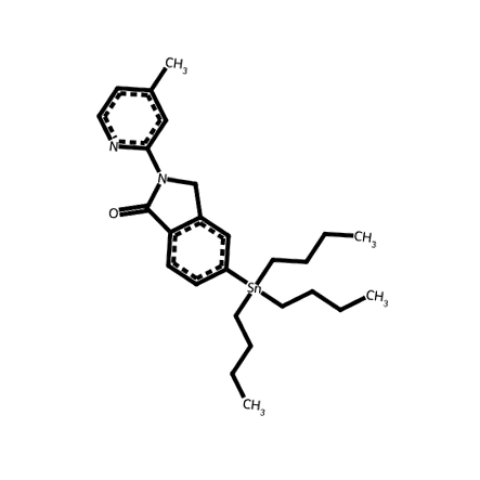 CCC[CH2][Sn]([CH2]CCC)([CH2]CCC)[c]1ccc2c(c1)CN(c1cc(C)ccn1)C2=O